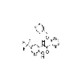 O=C(Nc1cc(C(F)(F)F)cnc1O)c1nccnc1OCc1ccccc1